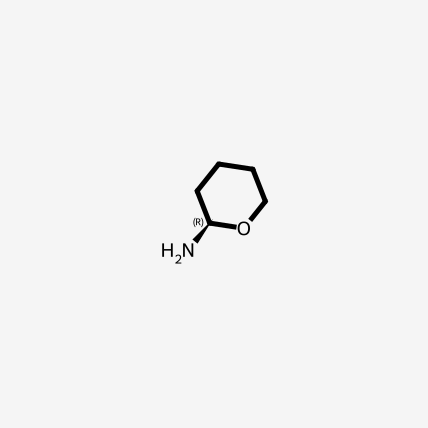 N[C@H]1CCCCO1